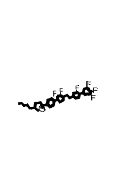 CCCCCC1CCC(c2ccc(-c3ccc(CCc4ccc(-c5cc(F)c(F)c(F)c5)c(F)c4)c(F)c3F)cc2)OC1